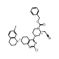 N#CC[C@H]1CN(c2nc(Cl)nc3c2CC[C@@H](N2CCCc4ccc(F)cc42)C3)CCN1C(=O)OCc1ccccc1